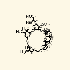 C=C1C(C)CC2CC[C@@H]3OC(CC[C@@]45CC6OC7C(O4)[C@H]4OC(CCC4O[C@H]7C6O5)CC(=O)CC4C(CC1O2)O[C@H](CC(O)CO)[C@@H]4OC)CC3=C